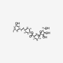 Cc1cc(O)cc(/C=C/c2ccc(OC(=O)c3ccc[n+]([C@@H]4O[C@H](CO)[C@@H](O)[C@H]4O)c3)cc2)c1